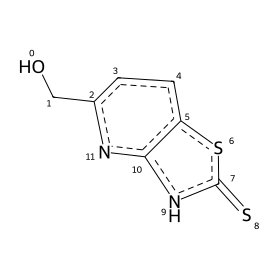 OCc1ccc2sc(=S)[nH]c2n1